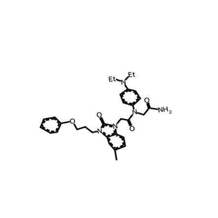 CCN(CC)c1ccc(N(CC(N)=O)C(=O)Cn2c(=O)n(CCCOc3ccccc3)c3cc(C)ccc32)cc1